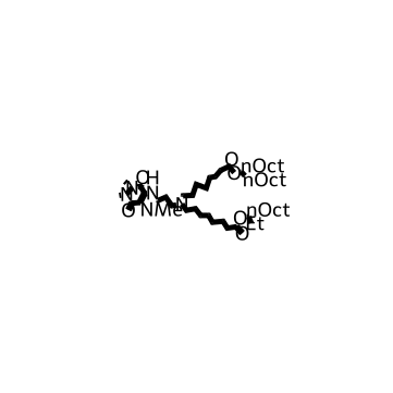 CCCCCCCCC(CC)OC(=O)CCCCCCCN(CCCCCCCC(=O)OC(CCCCCCCC)CCCCCCCC)CCCNc1c(NC)c(=O)n(C)n(C)c1=O